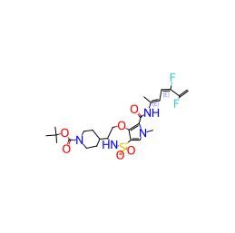 C=C(F)/C(F)=C\C=C(/C)NC(=O)c1c2c(cn1C)S(=O)(=O)NC(C1CCN(C(=O)OC(C)(C)C)CC1)CO2